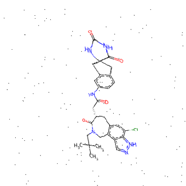 CC(C)(C)CN1Cc2c(cc(Cl)c3[nH]ncc23)C[C@@H](CC(=O)Nc2ccc3c(c2)CC2(C3)NC(=O)NC2=O)C1=O